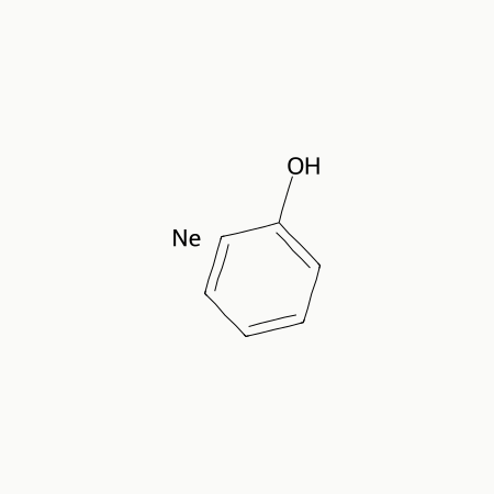 Oc1ccccc1.[Ne]